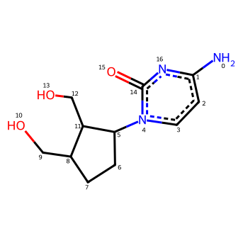 Nc1ccn(C2CCC(CO)C2CO)c(=O)n1